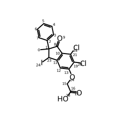 CC1(c2ccccc2)C(=O)c2c(cc(OCC(=O)O)c(Cl)c2Cl)C1I